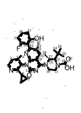 Cc1ccnc(C2CC2)c1-n1c(=O)nc(N2CCN(C(=O)O)C(C(C)(C)C)[C@@H]2C)c2cc(F)c(-c3c(O)cccc3F)nc21